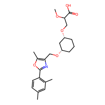 COC(CO[C@@H]1CCC[C@H](OCc2nc(-c3ccc(C)cc3C)oc2C)C1)C(=O)O